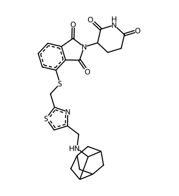 O=C1CCC(N2C(=O)c3cccc(SCc4nc(CNC5C6CC7CC(C6)C5C7)cs4)c3C2=O)C(=O)N1